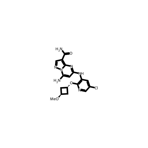 CO[C@H]1C[C@H](Oc2ncc(Cl)cc2Nc2cc(N)n3ncc(C(N)=O)c3n2)C1